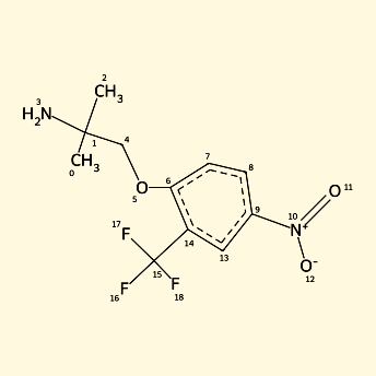 CC(C)(N)COc1ccc([N+](=O)[O-])cc1C(F)(F)F